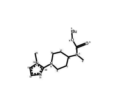 CN(C(=O)OC(C)(C)C)C1CCN(c2nccn2C)CC1